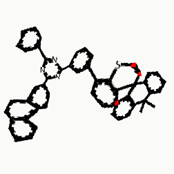 CC1(C)c2ccccc2C2(c3ccccc3Sc3c(-c4cccc(-c5nc(-c6ccccc6)nc(-c6ccc7c(ccc8ccccc87)c6)n5)c4)cccc32)c2ccccc21